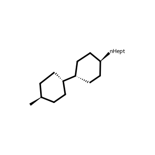 CCCCCCC[C@H]1CC[C@H]([C@H]2CC[C@H](C)CC2)CC1